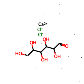 O=CC(O)C(O)C(O)C(O)CO.[Ca+2].[Cl-].[Cl-]